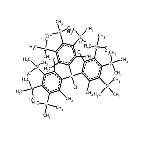 Cc1c([Si](C)(C)C)c([Si](C)(C)C)c([Si](C)(C)C)c(C)c1[Si](Cl)(c1c(C)c([Si](C)(C)C)c([Si](C)(C)C)c([Si](C)(C)C)c1C)c1c(C)c([Si](C)(C)C)c([Si](C)(C)C)c([Si](C)(C)C)c1C